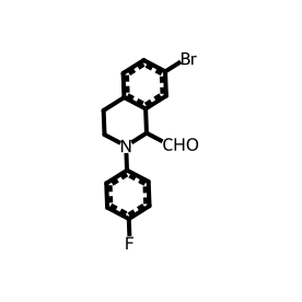 O=CC1c2cc(Br)ccc2CCN1c1ccc(F)cc1